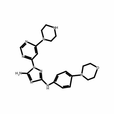 Nc1nc(Nc2ccc(N3CCOCC3)cc2)nn1-c1cc(N2CCNCC2)ncn1